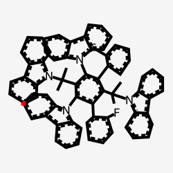 CC(C)(c1c(-c2ccccc2F)c(-n2c3ccccc3c3ccccc32)c(C(C)(C)n2c3ccccc3c3ccccc32)c(-n2c3ccccc3c3ccccc32)c1-c1ccccc1F)n1c2ccccc2c2ccccc21